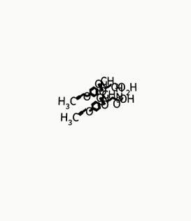 CC#CCOc1ccc(S(=O)(=O)N(C)CCC(=O)NO)cc1.CC#CCOc1ccc(S(=O)(=O)N(C)CCC(=O)O)cc1